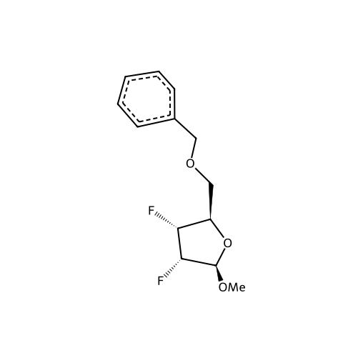 CO[C@@H]1O[C@H](COCc2ccccc2)[C@@H](F)[C@H]1F